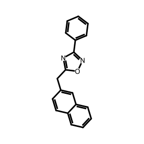 c1ccc(-c2noc(Cc3ccc4ccccc4c3)n2)cc1